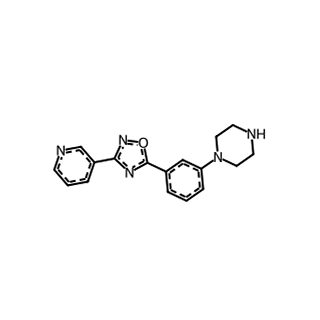 c1cncc(-c2noc(-c3cccc(N4CCNCC4)c3)n2)c1